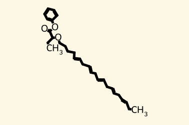 CCC=CCC=CCC=CCC=CCC=CCCCCOC(CC)C(=O)Oc1ccccc1